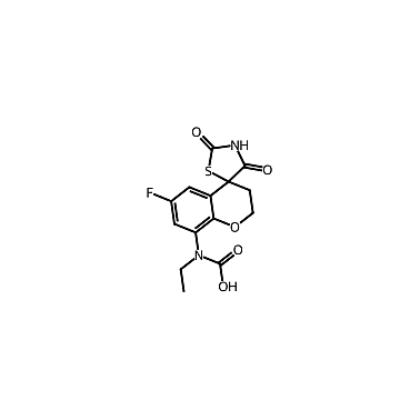 CCN(C(=O)O)c1cc(F)cc2c1OCCC21SC(=O)NC1=O